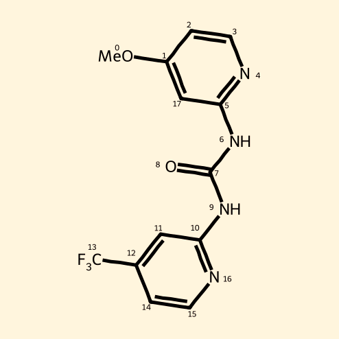 COc1ccnc(NC(=O)Nc2cc(C(F)(F)F)ccn2)c1